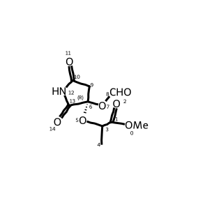 COC(=O)C(C)O[C@@]1(OC=O)CC(=O)NC1=O